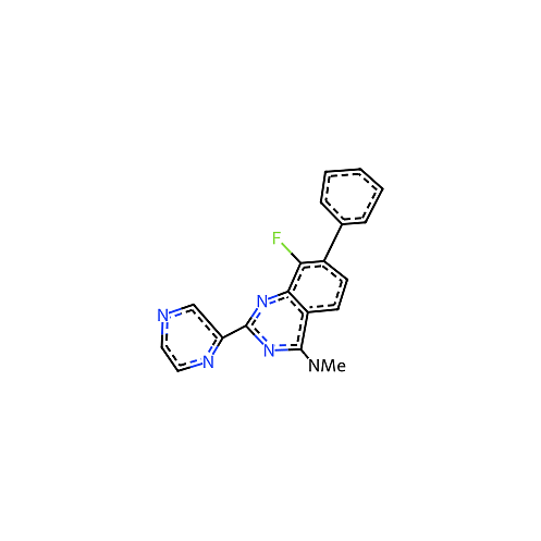 CNc1nc(-c2cnccn2)nc2c(F)c(-c3ccccc3)ccc12